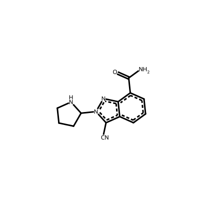 N#Cc1c2cccc(C(N)=O)c2nn1C1CCCN1